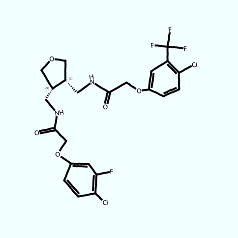 O=C(COc1ccc(Cl)c(F)c1)NC[C@@H]1COC[C@@H]1CNC(=O)COc1ccc(Cl)c(C(F)(F)F)c1